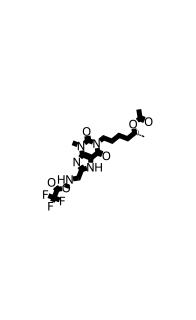 CC(=O)O[C@H](C)CCCCn1c(=O)c2[nH]c(CNOC(=O)C(F)(F)F)nc2n(C)c1=O